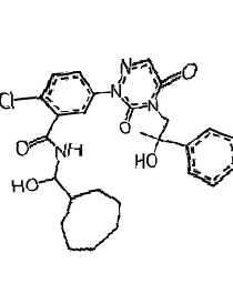 CC(O)(Cn1c(=O)cnn(-c2ccc(Cl)c(C(=O)NC(O)C3CCCCCC3)c2)c1=O)c1ccccc1